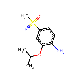 CC(C)Oc1cc(S(C)(=N)=O)ccc1N